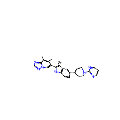 Cc1c(-c2[nH]c3ccc(C4CCN(c5ncccn5)CC4)cc3c2C(C)C)cn2ncnc2c1C